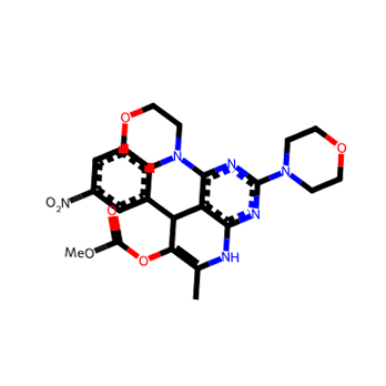 COC(=O)OC1=C(C)Nc2nc(N3CCOCC3)nc(N3CCOCC3)c2C1c1cccc([N+](=O)[O-])c1